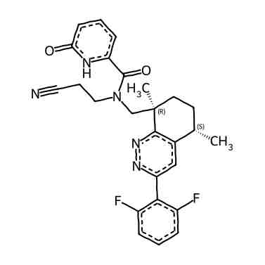 C[C@H]1CC[C@](C)(CN(CCC#N)C(=O)c2cccc(=O)[nH]2)c2nnc(-c3c(F)cccc3F)cc21